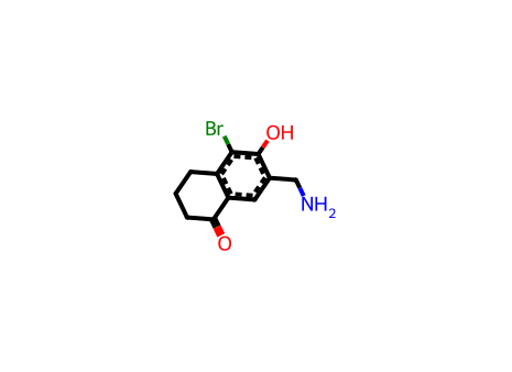 NCc1cc2c(c(Br)c1O)CCCC2=O